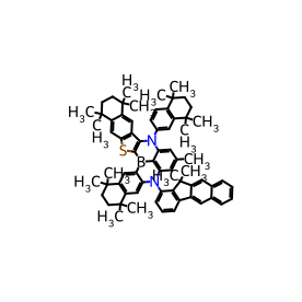 Cc1cc2c3c(c1)N(c1ccc4c(c1)C(C)(C)CCC4(C)C)c1c(sc4cc5c(cc14)C(C)(C)CCC5(C)C)B3c1cc3c(cc1N2c1cccc2c1C(C)(C)c1cc4ccccc4cc1-2)C(C)(C)CCC3(C)C